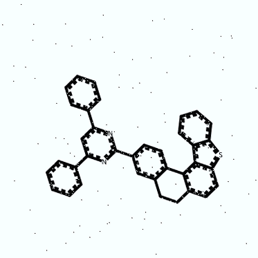 c1ccc(-c2cc(-c3ccccc3)nc(-c3ccc4c(c3)CCc3ccc5sc6ccccc6c5c3-4)n2)cc1